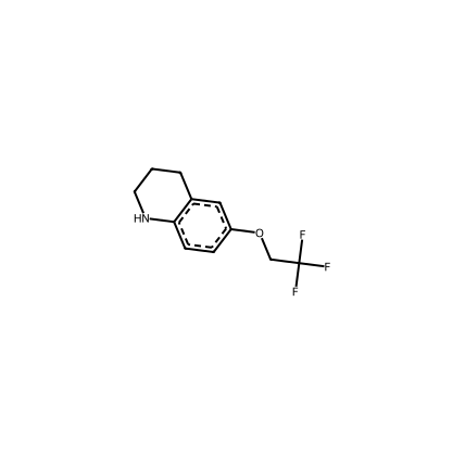 FC(F)(F)COc1ccc2c(c1)CCCN2